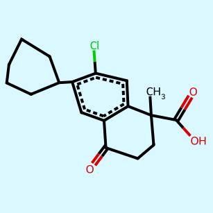 CC1(C(=O)O)CCC(=O)c2cc(C3CCCCC3)c(Cl)cc21